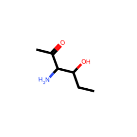 CCC(O)C(N)C(C)=O